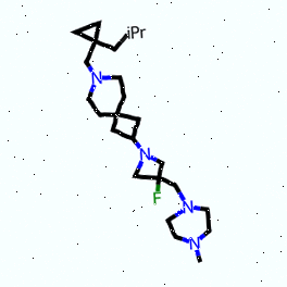 CC(C)CC1(CN2CCC3(CC2)CC(N2CC(F)(CN4CCN(C)CC4)C2)C3)CC1